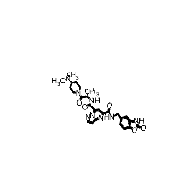 C[C@H](NC(=O)c1cc(C(=O)NCc2ccc3oc(=O)[nH]c3c2)nc2ccnn12)C(=O)N1CCC(N(C)C)CC1